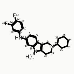 Cn1c2c(c3ccc(Nc4ccc(F)c(F)c4)cc31)CN(C1CCCCC1)CC2